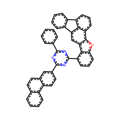 c1ccc(-c2nc(-c3ccc4c(ccc5ccccc54)c3)nc(-c3cccc4oc5c6cccc7c6c(cc5c34)-c3ccccc3-7)n2)cc1